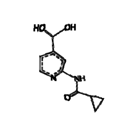 O=C(Nc1cc(C(O)O)ccn1)C1CC1